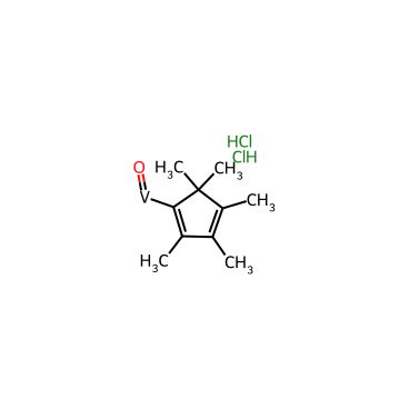 CC1=C(C)C(C)(C)[C]([V]=[O])=C1C.Cl.Cl